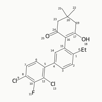 CCc1ccc(-c2ccc(Cl)c(F)c2Cl)cc1C1=C(O)CC(C)(C)CC1=O